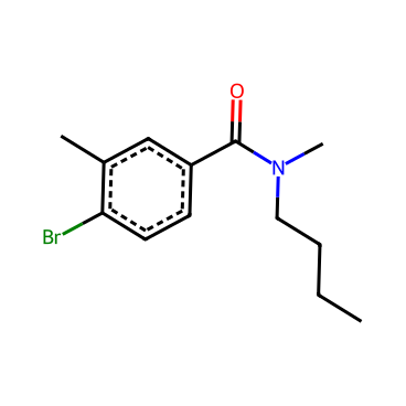 CCCCN(C)C(=O)c1ccc(Br)c(C)c1